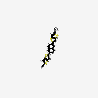 CCc1cc2sc(-c3ccc4cc(-c5cc6sc(C)cc6s5)ccc4c3)cc2s1